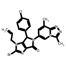 C=CCn1c(Br)nc2c1C(c1ccc(Cl)cc1)N(c1cc(C)c3nnc(C)n3c1)C2=O